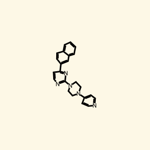 c1ccc2cc(-c3ccnc(N4CCN(c5ccncc5)CC4)n3)ccc2c1